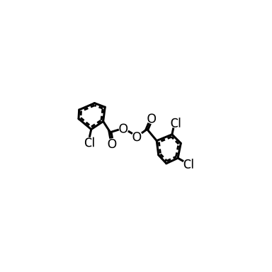 O=C(OOC(=O)c1ccc(Cl)cc1Cl)c1ccccc1Cl